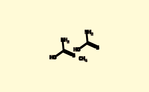 C.NC(O)=S.NC(O)=S